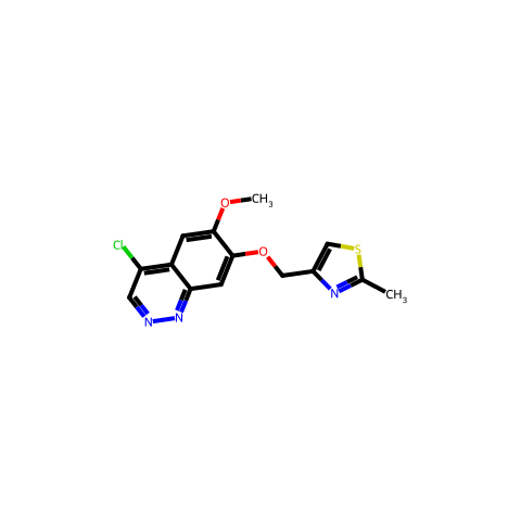 COc1cc2c(Cl)cnnc2cc1OCc1csc(C)n1